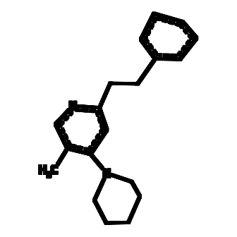 Cc1cnc(CCc2ccccc2)cc1N1CCCCC1